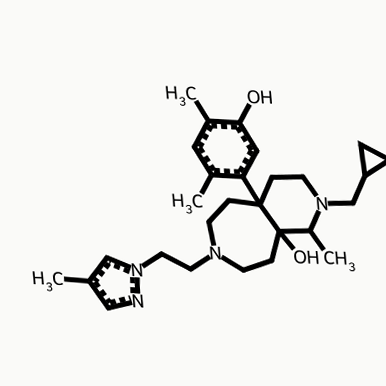 Cc1cnn(CCN2CCC3(c4cc(O)c(C)cc4C)CCN(CC4CC4)C(C)C3(O)CC2)c1